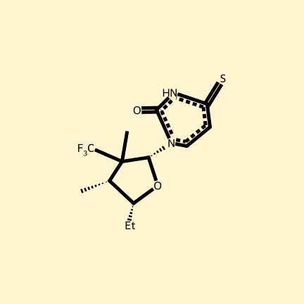 CC[C@H]1O[C@@H](n2ccc(=S)[nH]c2=O)C(C)(C(F)(F)F)[C@H]1C